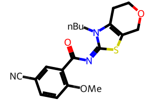 CCCCn1c2c(sc1=NC(=O)c1cc(C#N)ccc1OC)COCC2